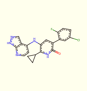 O=c1[nH]c(C2CC2)c(Nc2ccnc3[nH]ncc23)cc1-c1cc(Cl)ccc1F